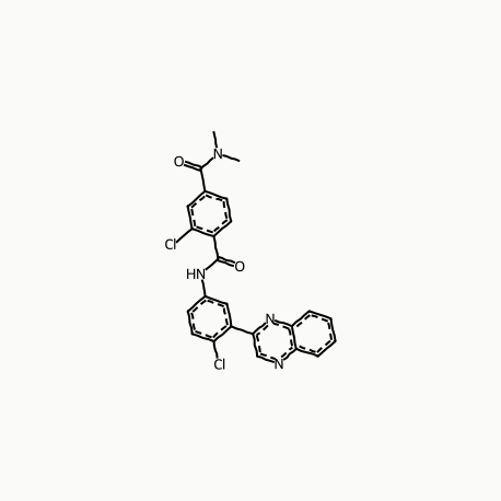 CN(C)C(=O)c1ccc(C(=O)Nc2ccc(Cl)c(-c3cnc4ccccc4n3)c2)c(Cl)c1